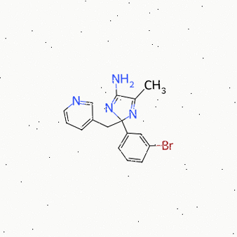 CC1=NC(Cc2cccnc2)(c2cccc(Br)c2)N=C1N